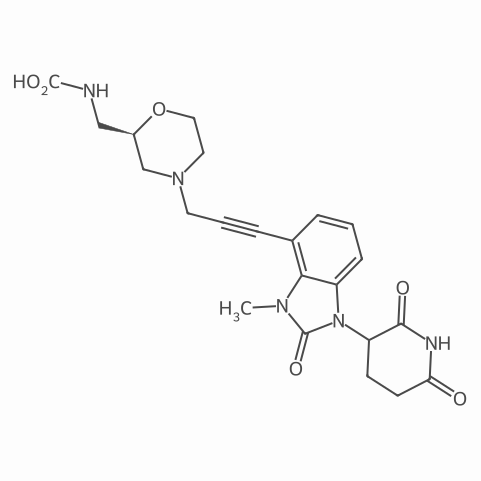 Cn1c(=O)n(C2CCC(=O)NC2=O)c2cccc(C#CCN3CCO[C@H](CNC(=O)O)C3)c21